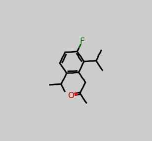 CC(=O)Cc1c(C(C)C)ccc(F)c1C(C)C